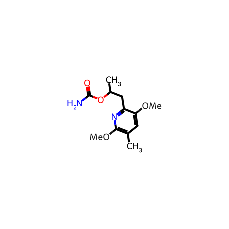 COc1cc(C)c(OC)nc1CC(C)OC(N)=O